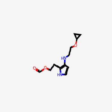 O=COCCc1[nH]ccc1NCCOC1CC1